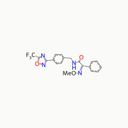 CON=C(C(=O)NCc1ccc(-c2noc(C(F)(F)F)n2)cc1)c1ccccc1